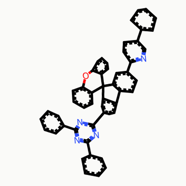 c1ccc(-c2ccc(-c3ccc4c(c3)C3(c5ccccc5Oc5ccccc53)c3cc(-c5nc(-c6ccccc6)nc(-c6ccccc6)n5)ccc3-4)nc2)cc1